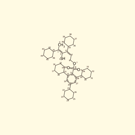 C/C(=C(S)\C(=C/COS(=O)(=O)c1c(C2CCCCC2)cc(C2CCCCC2)cc1C1CCCCC1)C1CCCCC1)C1CCCCC1